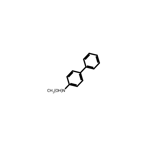 CN(O)c1ccc(-c2ccccc2)cc1